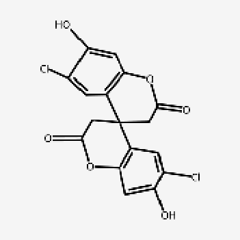 O=C1CC2(CC(=O)Oc3cc(O)c(Cl)cc32)c2cc(Cl)c(O)cc2O1